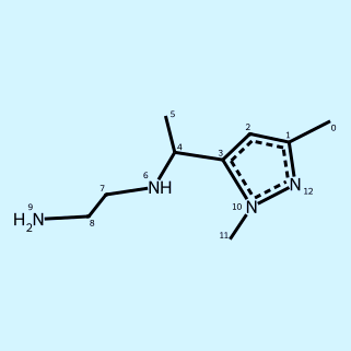 Cc1cc(C(C)NCCN)n(C)n1